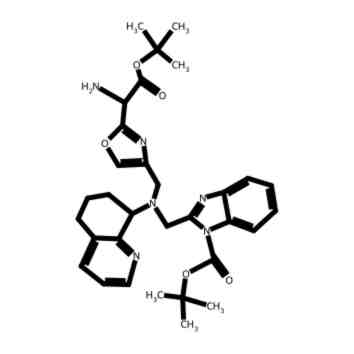 CC(C)(C)OC(=O)C(N)c1nc(CN(Cc2nc3ccccc3n2C(=O)OC(C)(C)C)C2CCCc3cccnc32)co1